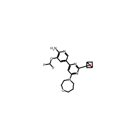 Nc1ncc(-c2cc(N3CCCOCC3)nc(N3CC4CC3C4)n2)cc1OC(F)F